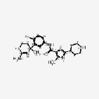 Cc1nc(C2CCNCC2)sc1C(=O)Nc1ccc(F)c(C2(C)CCSC(N)=N2)c1